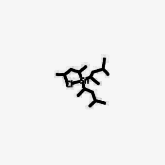 CC(C)C[CH](C)[Sn]([Cl])([CH](C)CC(C)C)[CH](C)CC(C)C